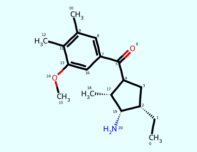 CC[C@H]1CC(C(=O)c2cc(C)c(C)c(OC)c2)[C@@H](C)[C@H]1N